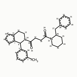 Cc1cccc(C2c3ccsc3CCN2C(=O)CCC(=O)N2CCCCC2Cc2ccccc2)c1